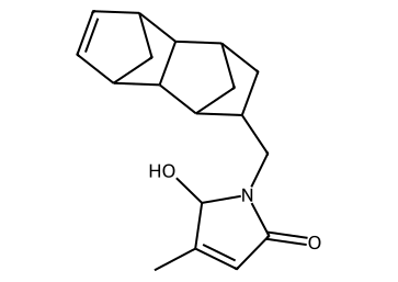 CC1=CC(=O)N(CC2CC3CC2C2C4C=CC(C4)C32)C1O